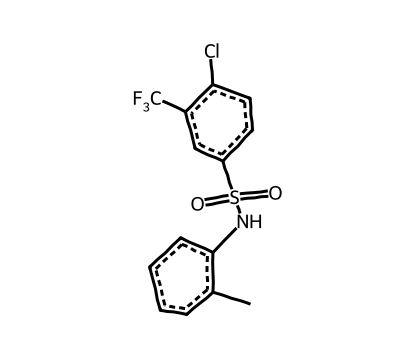 Cc1ccccc1NS(=O)(=O)c1ccc(Cl)c(C(F)(F)F)c1